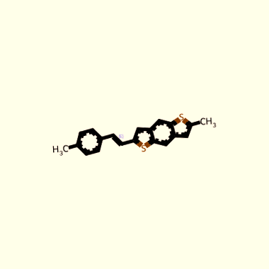 Cc1ccc(/C=C/c2cc3cc4sc(C)cc4cc3s2)cc1